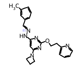 Cc1cccc(/C=N/Nc2cc(N3CCC3)nc(OCCc3ccccn3)n2)c1